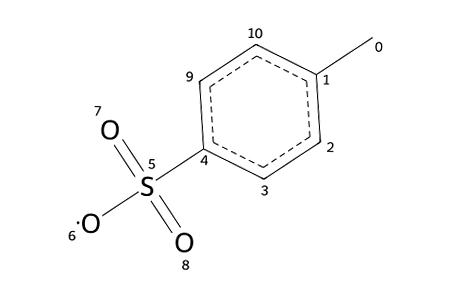 Cc1ccc(S([O])(=O)=O)cc1